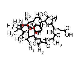 CC(C)CC(NC(=O)[C@H](CC(N)=O)NC(=O)C(NC(=O)[C@@H](N)CCC(=O)O)C(C)C)[C@@H](O)C[C@@H](C)C(=O)NC(C)C(=O)N[C@@H](CCC(=O)O)C(=O)NC(Cc1ccccc1)C(=O)O